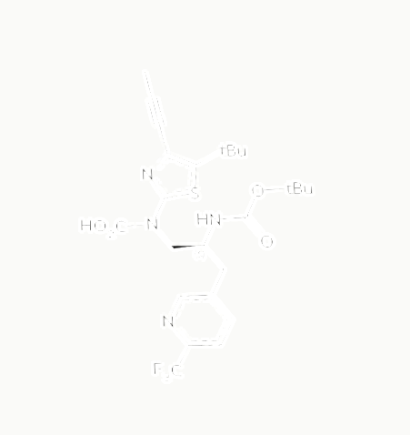 CC#Cc1nc(N(C[C@H](Cc2ccc(C(F)(F)F)nc2)NC(=O)OC(C)(C)C)C(=O)O)sc1C(C)(C)C